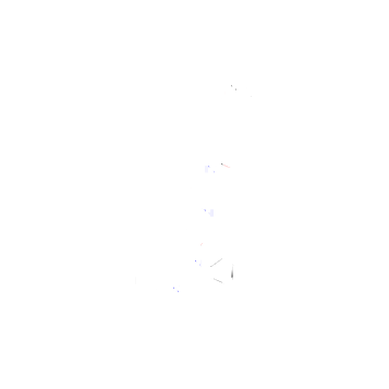 CC(C)(CC(=O)N1CC(NC(=O)O)Cc2ccccc21)C[C@H](N)[C@@H](O)CNC(=O)C(C)(C)C1CCC(O[N+](=O)[O-])CC1